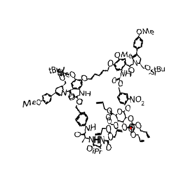 C=CCOC(=O)N[C@H](C(=O)N[C@@H](C)C(=O)Nc1ccc(COC(=O)Nc2cc(OCCCCCOc3cc(NC(=O)OCc4ccc(O[C@@H]5O[C@H](C(=O)OCC=C)[C@@H](OC(=O)OCC=C)[C@H](OC(=O)OCC=C)[C@H]5OC(=O)OCC=C)c([N+](=O)[O-])c4)c(C(=O)N4C=C(c5ccc(OC)cc5)C[C@H]4CO[Si](C)(C)C(C)(C)C)cc3OC)c(OC)cc2C(=O)N2C=C(c3ccc(OC)cc3)C[C@H]2CO[Si](C)(C)C(C)(C)C)cc1)C(C)C